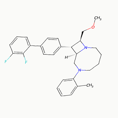 COC[C@@H]1[C@@H](c2ccc(-c3cccc(F)c3F)cc2)[C@@H]2CN(c3ccccc3C)CCCCN12